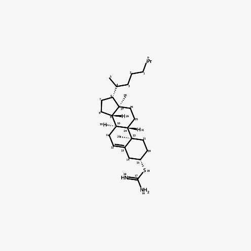 CC(C)CCCC(C)[C@H]1CC[C@H]2[C@@H]3CC=C4C[C@@H](SC(=N)N)CC[C@]4(C)[C@H]3CC[C@]12C